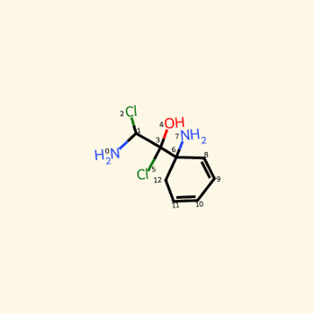 NC(Cl)C(O)(Cl)C1(N)C=CC=CC1